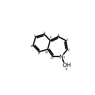 ON1C=CC=c2ccccc2=C1